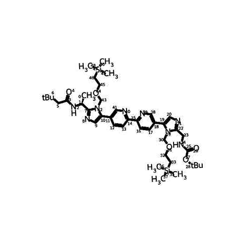 C[C@H](NC(=O)CC(C)(C)C)c1ncc(-c2ccc(-c3ccc(-c4cnc(CNC(=O)OC(C)(C)C)n4COCC[Si](C)(C)C)cn3)nc2)n1COCC[Si](C)(C)C